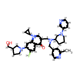 Cc1cc(CN(Cc2cn(C3CC3)c3cc(N4CCC(CO)C4)c(F)cc3c2=O)C2CCCN(c3cccnc3)C2)ccn1